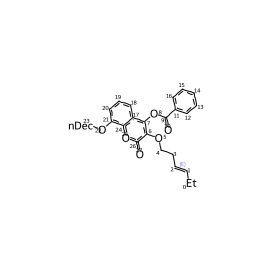 CC/C=C/CCOc1c(OC(=O)c2ccccc2)c2cccc(OCCCCCCCCCC)c2oc1=O